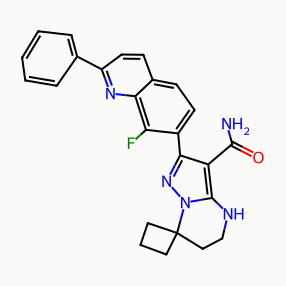 NC(=O)c1c(-c2ccc3ccc(-c4ccccc4)nc3c2F)nn2c1NCCC21CCC1